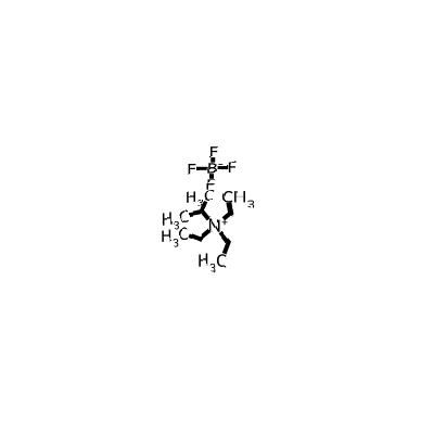 CC[N+](CC)(CC)C(C)C.F[B-](F)(F)F